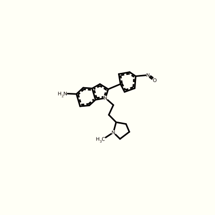 CN1CCCC1CCn1c(-c2ccc(N=O)cc2)cc2cc(N)ccc21